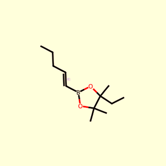 CCC/C=C/B1OC(C)(C)C(C)(CC)O1